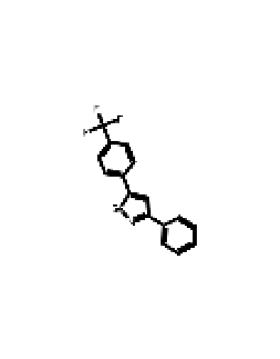 FC(F)(F)c1ccc(-c2cc(-c3ccccc3)n[se]2)cc1